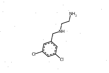 NCCNCc1cc(Cl)cc(Cl)c1